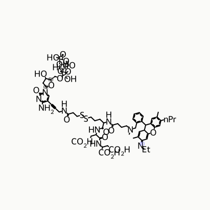 CCCc1cc2c(cc1C)C(c1ccccc1CN(C)CCCC(=O)NC(CCCSSCCC(=O)NCC#Cc1cn([C@H]3CC(O)[C@@H](COP(=O)(O)OP(=O)(O)OP(=O)(O)O)O3)c(=O)nc1N)C(=O)NC(CC(=O)O)C(=O)NC(CC(=O)O)C(=O)O)C1C=C(C)/C(=N/CC)C=C1O2